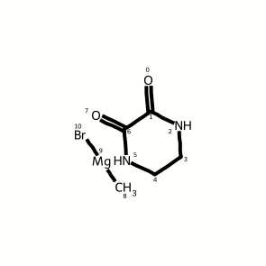 O=C1NCCNC1=O.[CH3][Mg][Br]